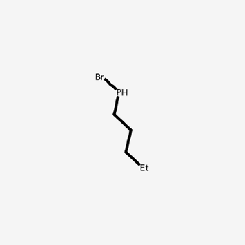 CCCCCPBr